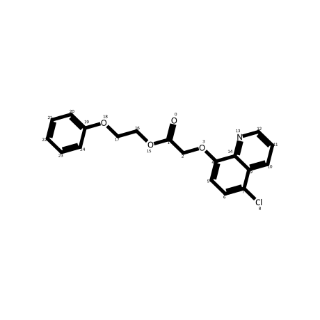 O=C(COc1ccc(Cl)c2cccnc12)OCCOc1ccccc1